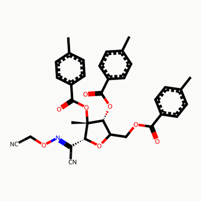 Cc1ccc(C(=O)OCC2O[C@H](/C(C#N)=N/OCC#N)[C@](C)(OC(=O)c3ccc(C)cc3)[C@@H]2OC(=O)c2ccc(C)cc2)cc1